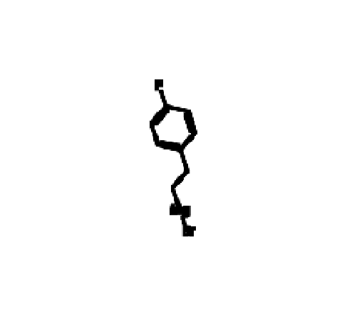 Fc1ccc(C[CH2][Mg][Br])cc1